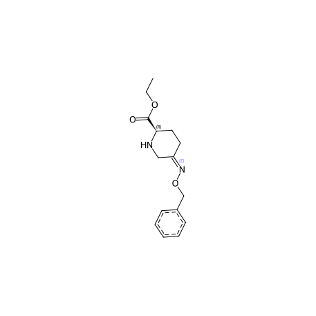 CCOC(=O)[C@H]1CC/C(=N/OCc2ccccc2)CN1